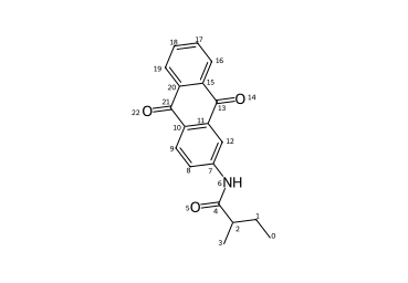 CCC(C)C(=O)Nc1ccc2c(c1)C(=O)c1ccccc1C2=O